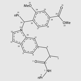 CCCNC(=O)C(C)Cc1ccc2ccn(C(CCC)c3ccc(C(=O)OC)cc3OC)c2c1